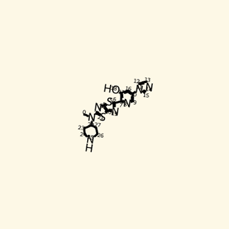 CN(c1nc2sc(-c3ncc(-n4ccnc4)cc3O)nc2s1)C1CCNCC1